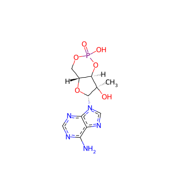 C[C@@]1(O)[C@@H]2OP(=O)(O)OC[C@H]2O[C@H]1n1cnc2c(N)ncnc21